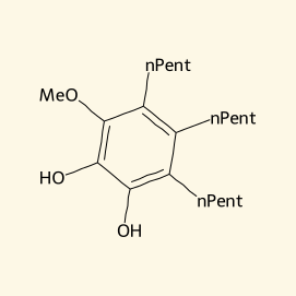 CCCCCc1c(O)c(O)c(OC)c(CCCCC)c1CCCCC